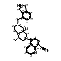 C[C@@H]1CN(c2ccc(C#N)c3ncccc23)C[C@@H]2CN(Cc3cccc4c3CNC4)CCN21